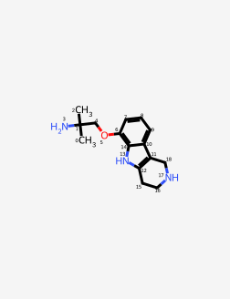 CC(C)(N)COc1cccc2c3c([nH]c12)CCNC3